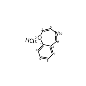 C1=COc2ccccc2C=N1.Cl